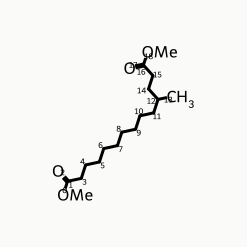 COC(=O)CCCCCCCCCC(C)CCC(=O)OC